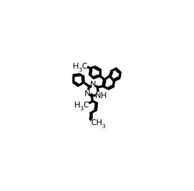 C/C=C\C=C/C(C)C1=NC(c2ccccc2)=NC(c2ccc3ccccc3c2-c2ccc(C)cc2)N1